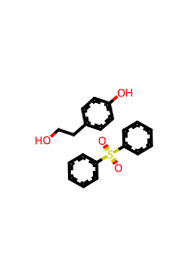 O=S(=O)(c1ccccc1)c1ccccc1.OCCc1ccc(O)cc1